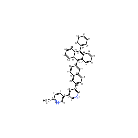 Cc1ccc(-c2cncc(-c3ccc4cc(C5=c6ccccc6=C(C6=CC=CCC6)C6C=CC=CC56)ccc4c3)c2)cn1